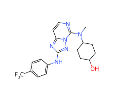 CN(c1nccc2nc(Nc3ccc(C(F)(F)F)cc3)nn12)C1CCC(O)CC1